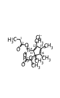 CCC(=O)[O][Ti+]([O]C(=O)CC)[C]1=C(C)C(C)=C(C)C1(C)C.[Cl-]